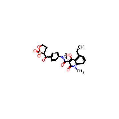 CCc1cccc2c1c(O)c(C(=O)N(C)c1ccc(C(=O)C3CCOS3(=O)=O)cc1)c(=O)n2C